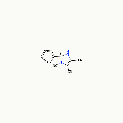 CC1(c2ccccc2)NC(C#N)=C(C#N)N1C#N